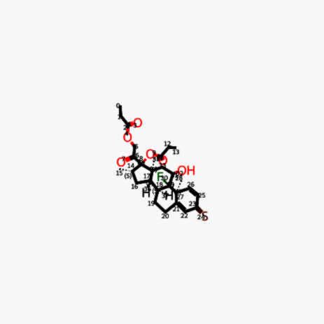 CCC(=O)OCC(=O)[C@@]1(OC(=O)CC)[C@@H](C)C[C@H]2[C@@H]3CCC4=CC(=S)C=C[C@]4(C)[C@@]3(F)C(O)C[C@@]21C